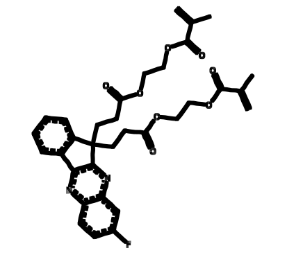 C=C(C)C(=O)OCCOC(=O)CCC1(CCC(=O)OCCOC(=O)C(=C)C)c2ccccc2-c2nc3ccc(F)cc3nc21